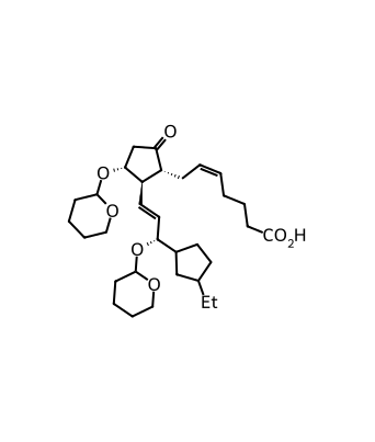 CCC1CCC([C@@H](/C=C/[C@H]2[C@H](OC3CCCCO3)CC(=O)[C@@H]2C/C=C\CCCC(=O)O)OC2CCCCO2)C1